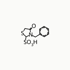 O=C1CSC(S(=O)(=O)O)N1Cc1ccccc1